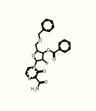 NC(=O)c1nccn(C2OC(COCc3ccccc3)C(OC(=O)c3ccccc3)C2F)c1=O